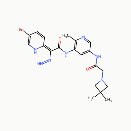 Cc1ncc(NC(=O)CN2CC(C)(C)C2)cc1NC(=O)/C(N=N)=C1\C=CC(Br)=CN1